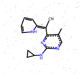 Cc1cnc(NC2CC2)nc1/C(C#N)=C1/C=CC=CN1